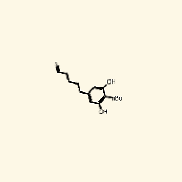 CCCCc1c(O)cc(CCCCC=S)cc1O